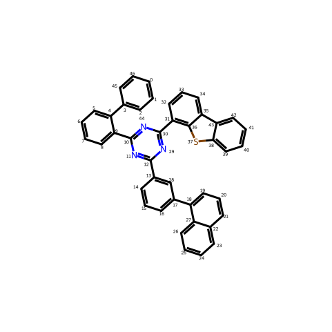 c1ccc(-c2ccccc2-c2nc(-c3cccc(-c4cccc5ccccc45)c3)nc(-c3cccc4c3sc3ccccc34)n2)cc1